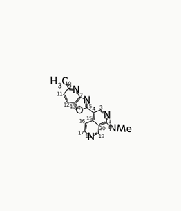 CNc1ncc(-c2nc3nc(C)ccc3o2)c2ccncc12